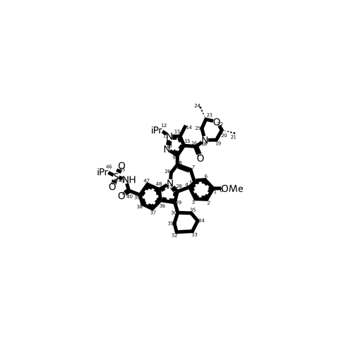 COc1ccc2c(c1)C=C(c1nn(C(C)C)c(C)c1C(=O)N1C[C@@H](C)O[C@@H](C)C1)Cn1c-2c(C2CCCCC2)c2ccc(C(=O)NS(=O)(=O)C(C)C)cc21